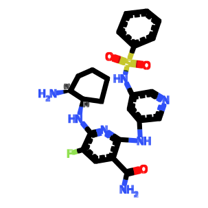 NC(=O)c1cc(F)c(N[C@@H]2CCCC[C@@H]2N)nc1Nc1cncc(NS(=O)(=O)c2ccccc2)c1